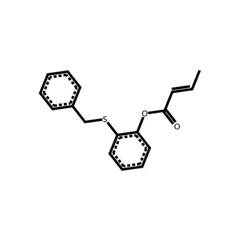 CC=CC(=O)Oc1ccccc1SCc1ccccc1